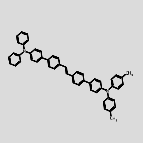 Cc1ccc(N(c2ccc(C)cc2)c2ccc(-c3ccc(/C=C/c4ccc(-c5ccc(N(c6ccccc6)c6ccccc6)cc5)cc4)cc3)cc2)cc1